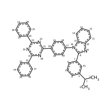 CC(C)c1cccc(-c2nc3ccccc3n2-c2ccc(-c3nc(-c4ccccc4)nc(-c4ccccc4)n3)cc2)c1